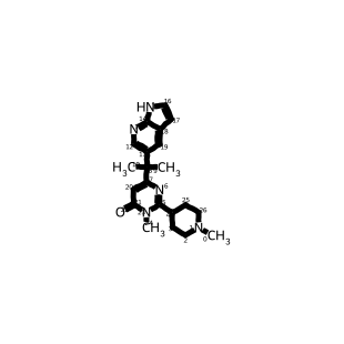 CN1CCC(c2nc(C(C)(C)c3cnc4[nH]ccc4c3)cc(=O)n2C)CC1